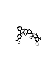 CC(=O)c1ccc(-n2c(=O)n(CC3CCC(NC(=O)c4cc(Cl)cnc4C)CC3)c3ccccc32)cc1